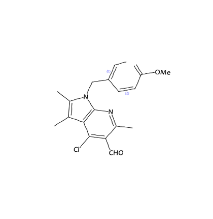 C=C(/C=C\C(=C/C)Cn1c(C)c(C)c2c(Cl)c(C=O)c(C)nc21)OC